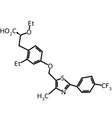 CCO[C@@H](Cc1ccc(OCc2sc(-c3ccc(C(F)(F)F)cc3)nc2C)cc1CC)C(=O)O